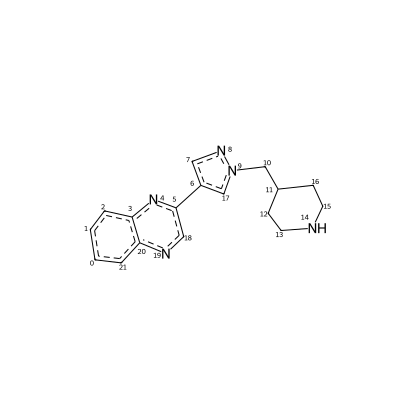 c1ccc2nc(-c3cnn(CC4CCNCC4)c3)cnc2c1